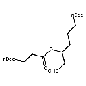 CCCCCCCCCCCCCC(C[C]=O)OC(=O)CCCCCCCCCCCC